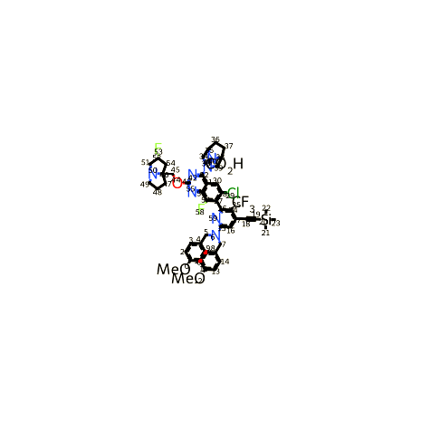 COc1ccc(CN(Cc2ccc(OC)cc2)c2cc(C#C[Si](C)(C)C)c(C(F)(F)F)c(-c3c(Cl)cc4c(N5CC6CCC(C5)N6C(=O)O)nc(OC[C@@]56CCCN5C[C@H](F)C6)nc4c3F)n2)cc1